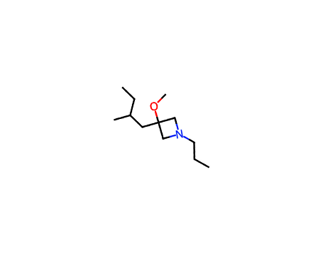 CCCN1CC(CC(C)CC)(OC)C1